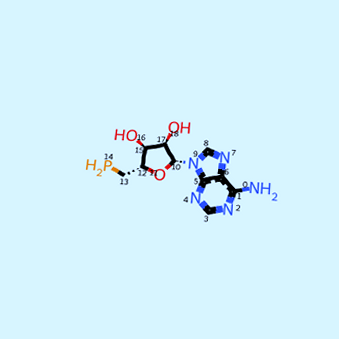 Nc1ncnc2c1ncn2[C@@H]1O[C@H](CP)[C@@H](O)[C@H]1O